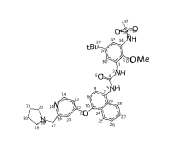 COc1c(NC(=O)Nc2ccc(Oc3ccnc(CN4CCCC4)c3)c3ccccc23)cc(C(C)(C)C)cc1NS(C)(=O)=O